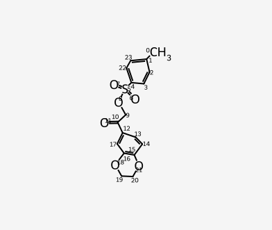 Cc1ccc(S(=O)(=O)OCC(=O)c2ccc3c(c2)OCCO3)cc1